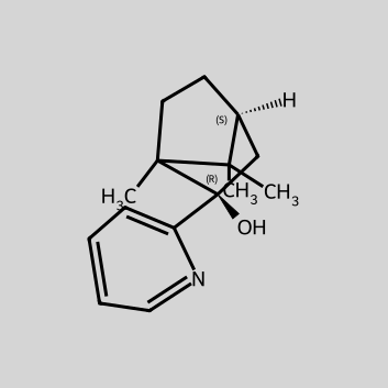 CC1(C)[C@H]2CCC1(C)[C@@](O)(c1ccccn1)C2